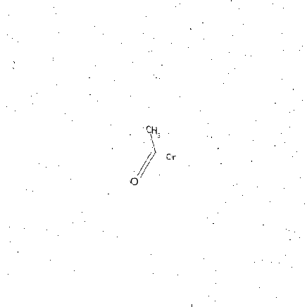 CC=O.[Cr]